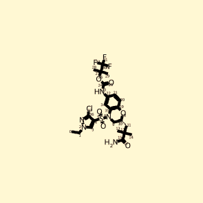 CCn1cc(S(=O)(=O)N2C[C@@H](CC(C)(C)C(N)=O)Oc3ccc(NC(=O)OC(C)(C)C(F)(F)F)cc32)c(Cl)n1